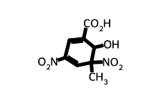 CC1([N+](=O)[O-])C=C([N+](=O)[O-])C=C(C(=O)O)C1O